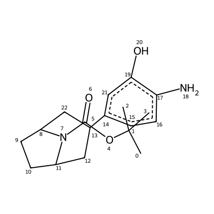 CC(C)(C)OC(=O)N1C2CCC1CC(c1ccc(N)c(O)c1)C2